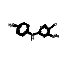 CNc1nc(Nc2ccc(C)cc2)ncc1Cl